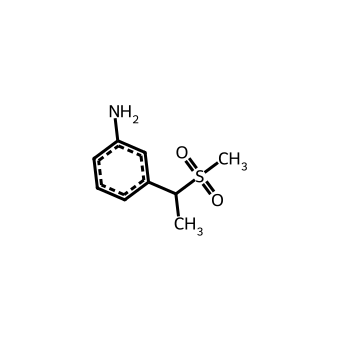 CC(c1cccc(N)c1)S(C)(=O)=O